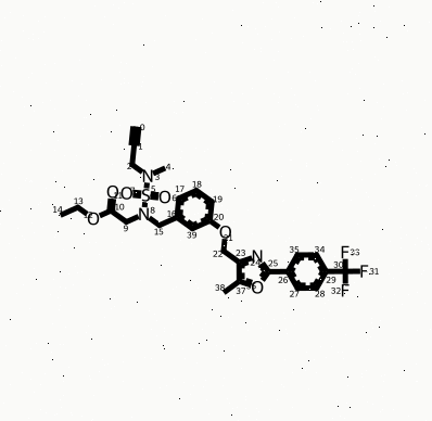 C#CCN(C)S(=O)(=O)N(CC(=O)OCC)Cc1cccc(OCc2nc(-c3ccc(C(F)(F)F)cc3)oc2C)c1